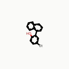 CCc1ccc(O)c(-c2cccc3ccccc23)c1